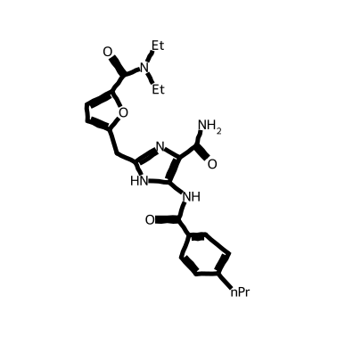 CCCc1ccc(C(=O)Nc2[nH]c(Cc3ccc(C(=O)N(CC)CC)o3)nc2C(N)=O)cc1